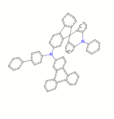 c1ccc(-c2ccc(N(c3ccc4c(c3)C3(c5ccccc5-4)c4ccccc4N(c4ccccc4)c4ccccc43)c3ccc4c5ccccc5c5ccccc5c4c3)cc2)cc1